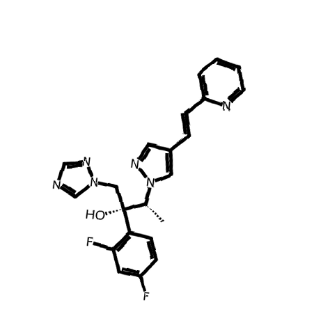 C[C@@H](n1cc(C=Cc2ccccn2)cn1)[C@](O)(Cn1cncn1)c1ccc(F)cc1F